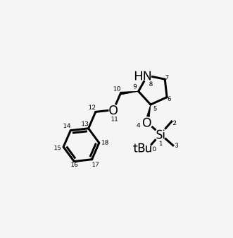 CC(C)(C)[Si](C)(C)O[C@@H]1CCN[C@@H]1COCc1ccccc1